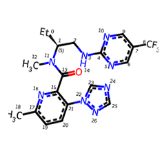 CC[C@@H](CNc1ncc(C(F)(F)F)cn1)N(C)C(=O)c1nc(C)ccc1-n1cncn1